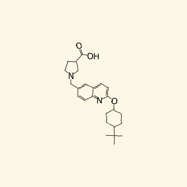 CC(C)(C)C1CCC(Oc2ccc3cc(CN4CCC(C(=O)O)C4)ccc3n2)CC1